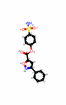 NS(=O)(=O)c1ccc(OC(=O)c2cc(-c3ccccc3)no2)cc1